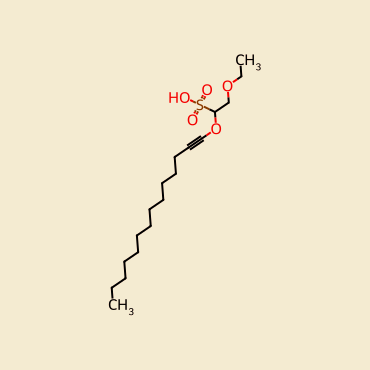 CCCCCCCCCCCCC#COC(COCC)S(=O)(=O)O